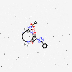 CN1CCCC/C=C\[C@@H]2C[C@@]2(C(=O)NS(=O)(=O)C2CC2)NC(=O)[C@@H]2C[C@@H](n3nnc(-c4ccccc4)n3)C[C@H]2C1=O